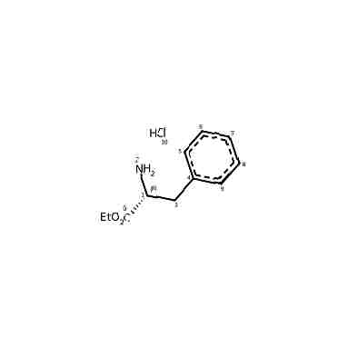 CCOC(=O)[C@H](N)Cc1ccccc1.Cl